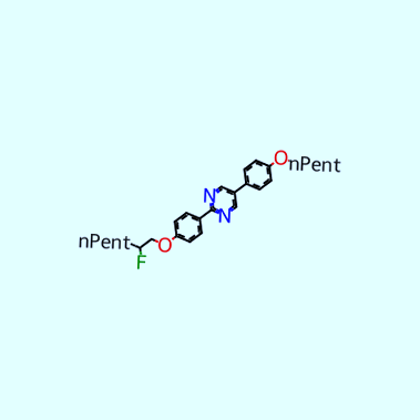 CCCCCOc1ccc(-c2cnc(-c3ccc(OCC(F)CCCCC)cc3)nc2)cc1